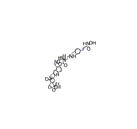 CC[C@@]1(O)C(=O)OCc2c1cc1n(c2=O)Cc2cc3c(/C=N\OC(C)(C)C)c(OC(=O)NCCNCc4ccc(/C=C/C(=O)NO)cc4)ccc3nc2-1